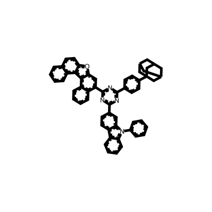 c1ccc(-n2c3ccccc3c3ccc(-c4nc(-c5ccc(C67CC8CC(CC(C8)C6)C7)cc5)nc(-c5cc6oc7ccc8ccccc8c7c6c6ccccc56)n4)cc32)cc1